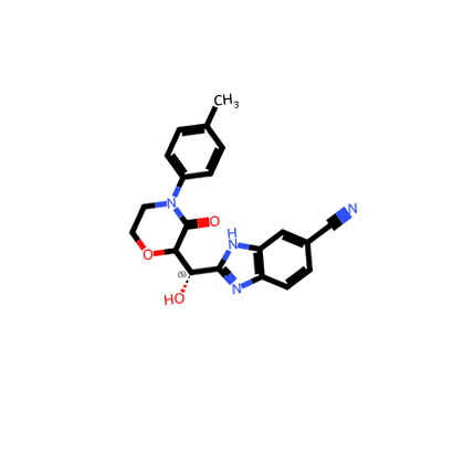 Cc1ccc(N2CCOC([C@@H](O)c3nc4ccc(C#N)cc4[nH]3)C2=O)cc1